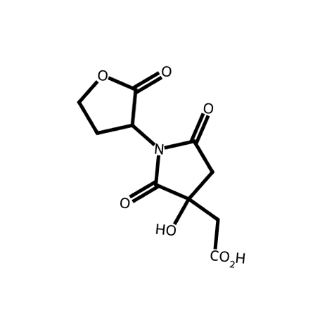 O=C(O)CC1(O)CC(=O)N(C2CCOC2=O)C1=O